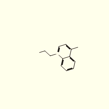 Cc1cc[n+](CCC(=O)O)c2ccccc12.[I-]